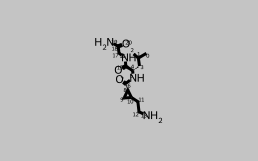 CC(C)C[C@H](NC(=O)[C@H]1CC1CCN)C(=O)NCC(N)=O